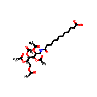 CC(=O)OC[C@@H](OC(C)=O)[C@@H](OC(C)=O)[C@H](OC(C)=O)C(CNC(=O)CCCCCCCCCCC(=O)O)OC(C)=O